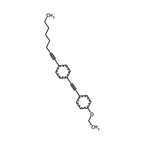 CCCCCCC#Cc1ccc(C#Cc2ccc(OCC)cc2)cc1